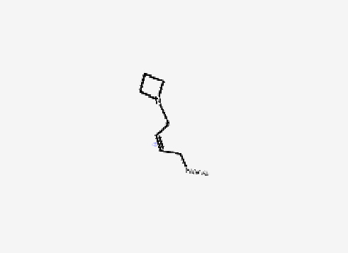 CNC/C=C\CN1CCC1